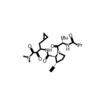 C#C[C@H]1CCN(C(=O)[C@@H](NC(=O)C(C)C)C(C)(C)C)[C@@H]1C(=O)NC(CC1CC1)C(=O)C(=O)N(C)C